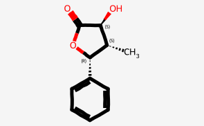 C[C@H]1[C@H](O)C(=O)O[C@H]1c1ccccc1